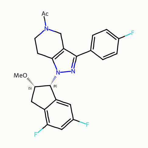 CO[C@H]1Cc2c(F)cc(F)cc2[C@H]1n1nc(-c2ccc(F)cc2)c2c1CCN(C(C)=O)C2